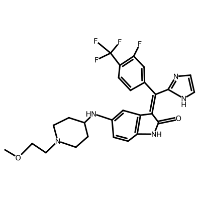 COCCN1CCC(Nc2ccc3c(c2)/C(=C(\c2ccc(C(F)(F)F)c(F)c2)c2ncc[nH]2)C(=O)N3)CC1